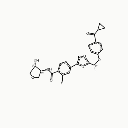 C[C@@H](Oc1ccc(C(=O)C2CC2)cc1)c1nc(-c2ccc(C(=O)N[C@H]3COC[C@H]3O)c(F)c2)no1